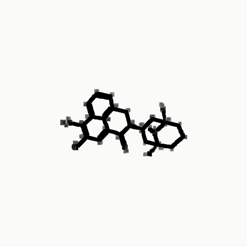 CN1[C@@H]2CCC[C@H]1C[C@@H](N1Cc3cccc4c(N)c(Cl)cc(c34)C1=O)C2